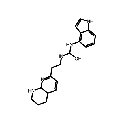 OC(NCCC1=NC2NCCCC2C=C1)Nc1cccc2[nH]ccc12